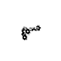 CC(C)OCc1cc2ccccc2n1-c1ccc(OCCCN2CCCC2)cc1